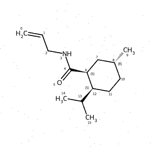 C=CCNC(=O)[C@H]1C[C@H](C)CC[C@H]1C(C)C